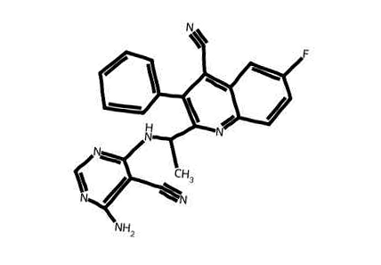 CC(Nc1ncnc(N)c1C#N)c1nc2ccc(F)cc2c(C#N)c1-c1ccccc1